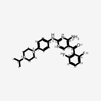 CC(C)N1CCN(c2ccc(Nc3ncc(C(=O)c4c(F)cccc4F)c(N)n3)cc2)CC1